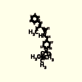 CC/C(=C\c1ccccc1)[C@@H]1C[C@H]1NCC1CCN(C(=O)OC(C)(C)C)CC1